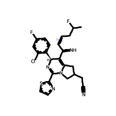 CC(F)C/C=C\C(=N)C1=C2CC(CC#N)CN2C(c2nccs2)=N[C@H]1c1ccc(F)cc1Cl